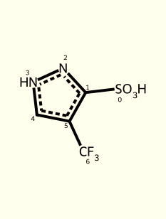 O=S(=O)(O)c1n[nH]cc1C(F)(F)F